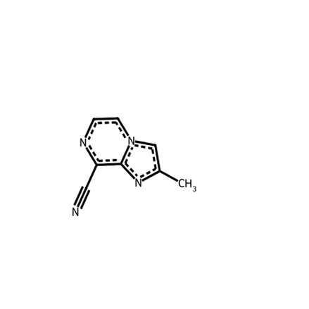 Cc1cn2ccnc(C#N)c2n1